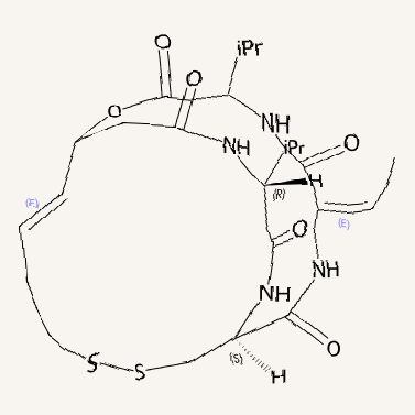 C/C=C1/NC(=O)[C@H]2CSSCC/C=C/C(CC(=O)N[C@H](C(C)C)C(=O)N2)OC(=O)C(C(C)C)NC1=O